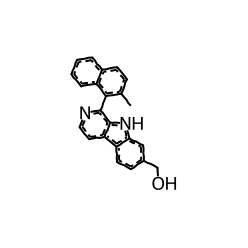 Cc1ccc2ccccc2c1-c1nccc2c1[nH]c1cc(CO)ccc12